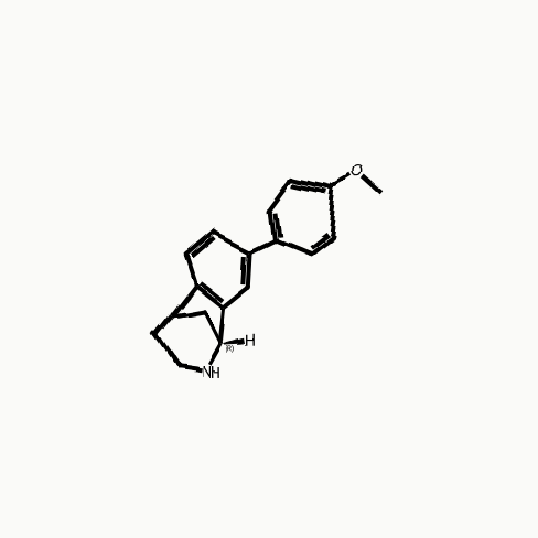 COc1ccc(-c2ccc3c(c2)[C@H]2CC3CCN2)cc1